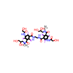 CN(CC(O)CO)C(=O)c1c(I)c(NC(=O)CO)c(I)c(C(=O)NCCNC(=O)c2c(I)c(NC(=O)CO)c(I)c(C(=O)N(C)CC(O)CO)c2I)c1I